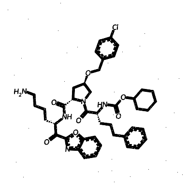 NCCCC[C@H](NC(=O)[C@@H]1C[C@@H](OCc2ccc(Cl)cc2)CN1C(=O)[C@@H](CCCc1ccccc1)NC(=O)OC1CCCCC1)C(=O)c1nc2ccccc2o1